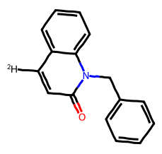 [2H]c1cc(=O)n(Cc2ccccc2)c2ccccc12